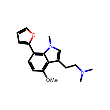 COc1ccc(-c2ccco2)c2c1c(CCN(C)C)cn2C